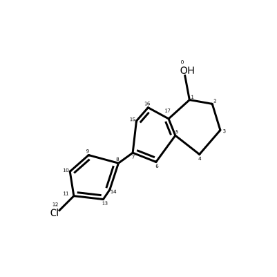 OC1CCCc2cc(-c3ccc(Cl)cc3)ccc21